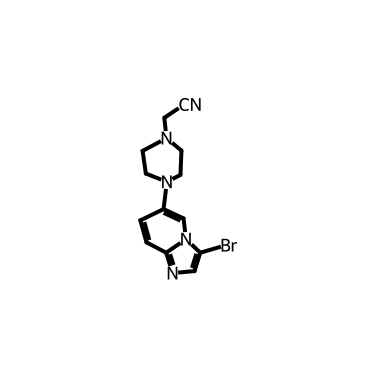 N#CCN1CCN(c2ccc3ncc(Br)n3c2)CC1